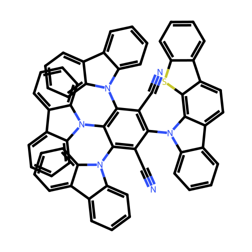 N#Cc1c(-n2c3ccccc3c3ccccc32)c(-n2c3ccccc3c3ccccc32)c(-n2c3ccccc3c3ccccc32)c(C#N)c1-n1c2ccccc2c2ccc3c4ccccc4sc3c21